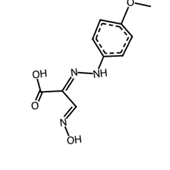 COc1ccc(N/N=C(\C=N\O)C(=O)O)cc1